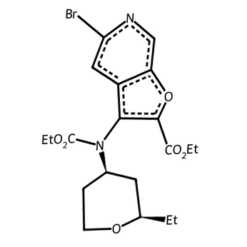 CCOC(=O)c1oc2cnc(Br)cc2c1N(C(=O)OCC)[C@@H]1CCO[C@H](CC)C1